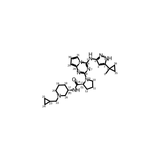 CC1(c2cc(Nc3nc(N4CCC[C@H]4C(=O)N[C@@H]4CCCN(CC5CC5)C4)nc4cccn34)n[nH]2)CC1